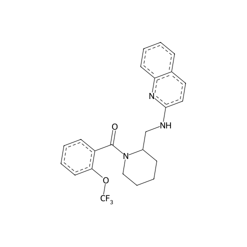 O=C(c1ccccc1OC(F)(F)F)N1CCCCC1CNc1ccc2ccccc2n1